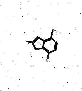 CCc1ccc(C(C)C)c2c1[CH]C(C)=C2